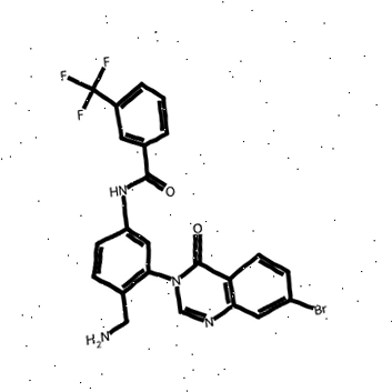 NCc1ccc(NC(=O)c2cccc(C(F)(F)F)c2)cc1-n1cnc2cc(Br)ccc2c1=O